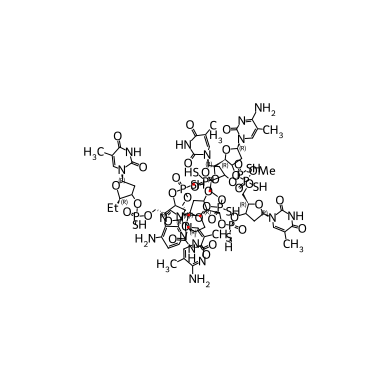 CC[C@H]1O[C@@H](n2cc(C)c(=O)[nH]c2=O)CC1OP(=O)(S)OC[C@H]1O[C@@H](n2cc(C)c(=O)[nH]c2=O)CC1OP(=O)(S)OC[C@H]1O[C@@H](n2cc(C)c(N)nc2=O)CC1OP(=O)(S)OC[C@H]1O[C@@H](n2cc(C)c(=O)[nH]c2=O)CC1OP(=O)(S)OC[C@H]1O[C@@H](n2cc(C)c(=O)[nH]c2=O)CC1OP(=O)(S)OC[C@H]1O[C@@H](n2cnc3c(N)ccnc32)CC1OP(=O)(S)OC[C@H]1O[C@@H](n2cc(C)c(N)nc2=O)CC1OP(=O)(S)OC